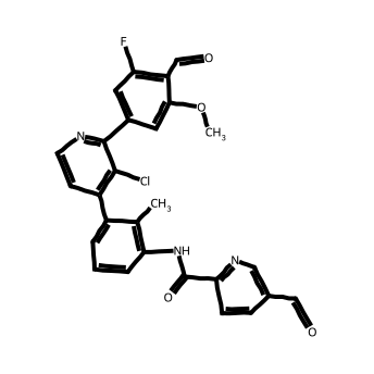 COc1cc(-c2nccc(-c3cccc(NC(=O)c4ccc(C=O)cn4)c3C)c2Cl)cc(F)c1C=O